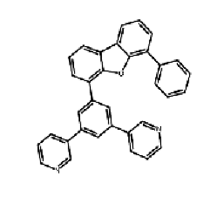 c1ccc(-c2cccc3c2oc2c(-c4cc(-c5cccnc5)cc(-c5cccnc5)c4)cccc23)cc1